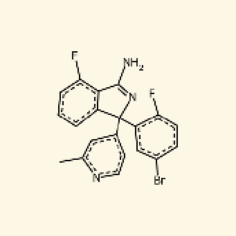 Cc1cc(C2(c3cc(Br)ccc3F)N=C(N)c3c(F)cccc32)ccn1